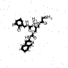 CN(C(=O)NCc1cccc(F)c1Cl)[C@@H](CNC(=O)CN)COC(=O)Nc1cc2ccccc2cn1